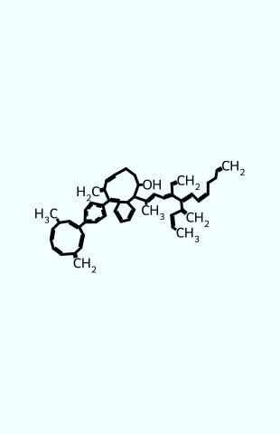 C=CCC\C=C/C=C(C(=C)/C=C\C)/C(C=C)=C/C=C(\C)C1C(O)CC/C=C\C(=C)/C(c2ccc(C3=C/C(C)/C=C\C=C/C(=C)/C=C\3)cc2)=C2/C=CC=CC21